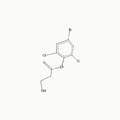 O=C(CCO)Oc1c(Cl)cc(Br)cc1Cl